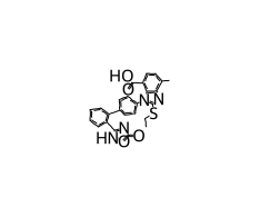 CCSc1nc2c(C)ccc(C(=O)O)c2n1-c1ccc(-c2ccccc2-c2nc(=O)o[nH]2)cc1